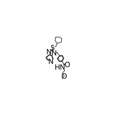 COCCNC(=O)c1ccc(Cn2c(SCC3CCCCC3)nc3ccncc32)cc1